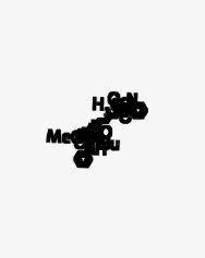 CCC(C)NC(=O)N(CCCCN(C)S(=O)(=O)c1ccccc1[N+](=O)[O-])C[C@H](COC)OC(=O)Nc1ccccc1